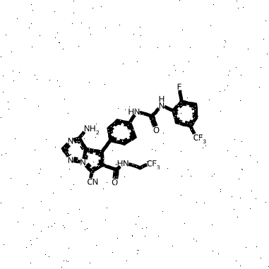 N#Cc1c(C(=O)NCC(F)(F)F)c(-c2ccc(NC(=O)Nc3cc(C(F)(F)F)ccc3F)cc2)c2c(N)ncnn12